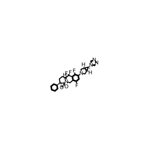 O=S1(=O)[C@@H](c2ccccc2)CC[C@H]2N1Cc1c(F)cc(N3C[C@@H]4[C@H](C3)[C@H]4n3cnnc3)c(F)c1C2(F)F